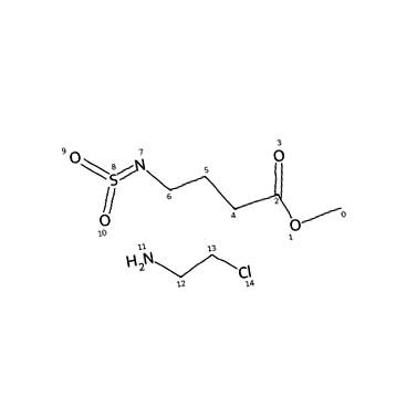 COC(=O)CCCN=S(=O)=O.NCCCl